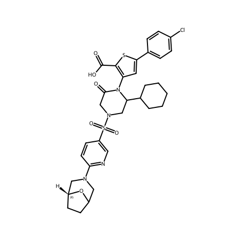 O=C(O)c1sc(-c2ccc(Cl)cc2)cc1N1C(=O)CN(S(=O)(=O)c2ccc(N3CC4CC[C@H](C3)O4)nc2)CC1C1CCCCC1